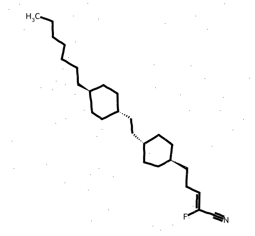 CCCCCCC[C@H]1CC[C@H](CC[C@H]2CC[C@H](CCC=C(F)C#N)CC2)CC1